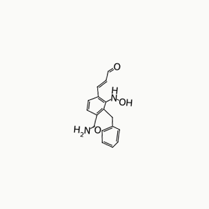 NC(=O)c1ccc(C=CC=O)c(NO)c1Cc1ccccc1